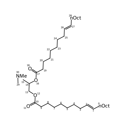 CCCCCCCCC=CCCCCCCCC(=O)OCC(C)OC(=O)CCCCCCCC=CCCCCCCCC.CNC